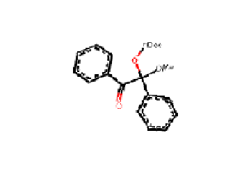 CCCCCCCCCCOC(OC)(C(=O)c1ccccc1)c1ccccc1